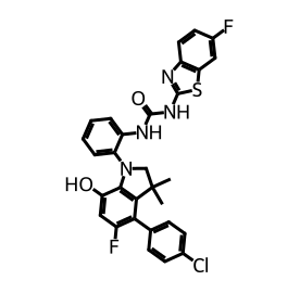 CC1(C)CN(c2ccccc2NC(=O)Nc2nc3ccc(F)cc3s2)c2c(O)cc(F)c(-c3ccc(Cl)cc3)c21